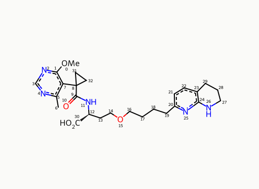 COc1ncnc(C)c1C1(C(=O)N[C@@H](CCOCCCCc2ccc3c(n2)NCCC3)C(=O)O)CC1